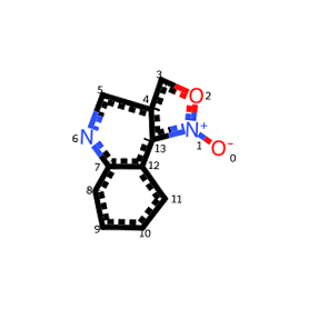 [O-][n+]1occ2cnc3ccccc3c21